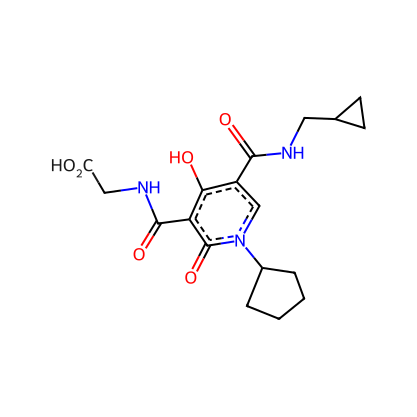 O=C(O)CNC(=O)c1c(O)c(C(=O)NCC2CC2)cn(C2CCCC2)c1=O